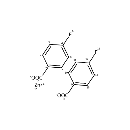 O=C([O-])c1ccc(F)cc1.O=C([O-])c1ccc(F)cc1.[Zn+2]